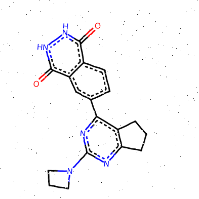 O=c1[nH][nH]c(=O)c2cc(-c3nc(N4CCC4)nc4c3CCC4)ccc12